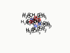 CC(C)(C)c1ccc(N2c3cc4c(cc3B3c5c(cc(C(C)(C)C)cc52)Oc2cccc(C(C)(C)C)c23)B2c3cc5c(cc3Oc3cc(C(C)(C)C)cc(c32)O4)N(c2ccc(C(C)(C)C)cc2)c2cc(C(C)(C)C)cc3c2B5c2cc(C(C)(C)C)ccc2N3c2ccc(C(C)(C)C)cc2)cc1